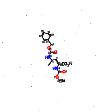 CC(/C=C(\NC(=O)OC(C)(C)C)C(=O)O)NC(=O)OCc1ccccc1